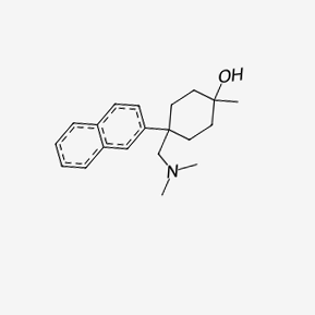 CN(C)CC1(c2ccc3ccccc3c2)CCC(C)(O)CC1